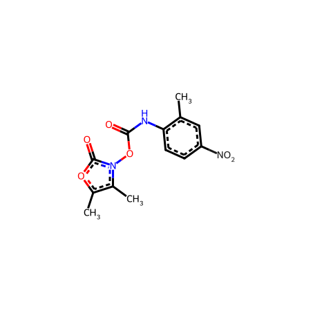 Cc1cc([N+](=O)[O-])ccc1NC(=O)On1c(C)c(C)oc1=O